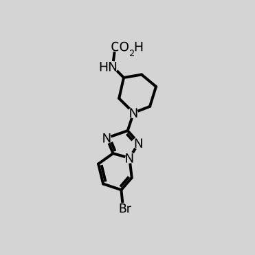 O=C(O)NC1CCCN(c2nc3ccc(Br)cn3n2)C1